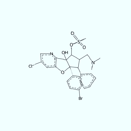 CN(C)CC1C(OS(C)(=O)=O)C2(O)c3ncc(Cl)cc3OC2(c2ccc(Br)cc2)C1c1ccccc1